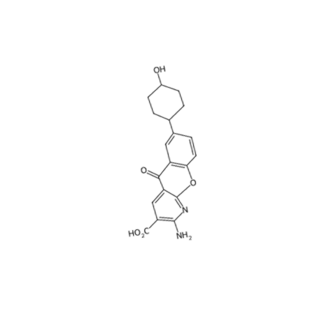 Nc1nc2oc3ccc(C4CCC(O)CC4)cc3c(=O)c2cc1C(=O)O